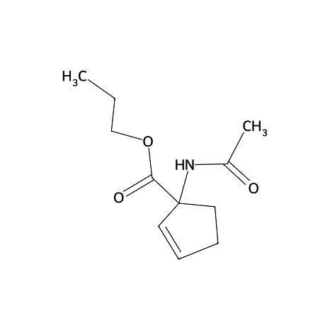 CCCOC(=O)C1(NC(C)=O)C=CCC1